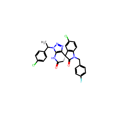 CC(c1ccc(Cl)cc1)n1nnc2c1NC(=O)C[C@]21C(=O)N(Cc2ccc(F)cc2)c2ccc(Cl)cc21